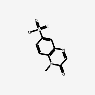 Cn1c(=O)cnc2cc(S(=O)(=O)Cl)ccc21